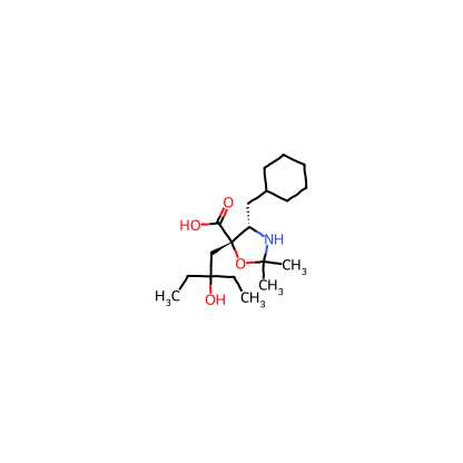 CCC(O)(CC)C[C@]1(C(=O)O)OC(C)(C)N[C@H]1CC1CCCCC1